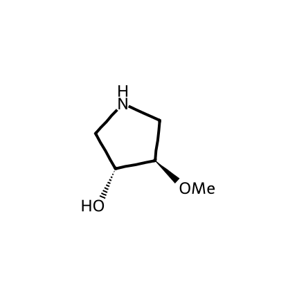 CO[C@@H]1CNC[C@H]1O